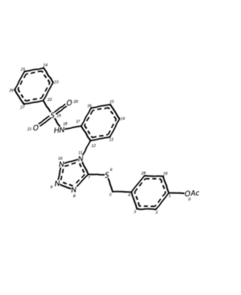 CC(=O)Oc1ccc(CSc2nnnn2-c2ccccc2NS(=O)(=O)c2ccccc2)cc1